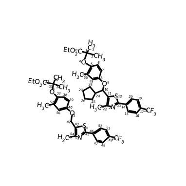 CCOC(=O)C(C)(C)Oc1ccc(OC(c2sc(-c3ccc(C(F)(F)F)cc3)nc2C)C2CCCC2)cc1C.CCOC(=O)C(C)(C)Oc1ccc(OCc2sc(-c3ccc(C(F)(F)F)cc3)nc2C)cc1C